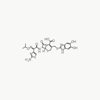 CC(C)O/N=C(/C(=O)N[C@@H]1C(=O)N2C(C(=O)O)=C(CSc3nc4cc(O)c(O)cc4[nH]3)CS[C@H]12)c1csc(N)n1